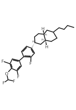 CCCCC1CC[C@@H]2C[C@H](c3ccc(-c4cc(F)c(OC(F)F)c(F)c4)c(F)c3)CC[C@@H]2C1